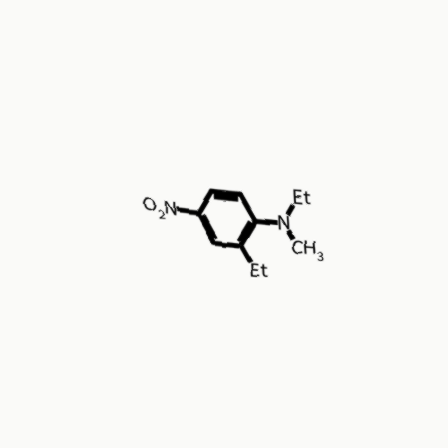 CCc1cc([N+](=O)[O-])ccc1N(C)CC